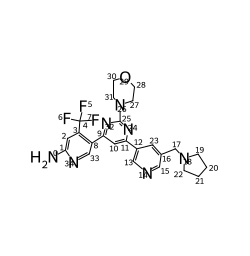 Nc1cc(C(F)(F)F)c(-c2cc(-c3cncc(CN4CCCC4)c3)nc(N3CCOCC3)n2)cn1